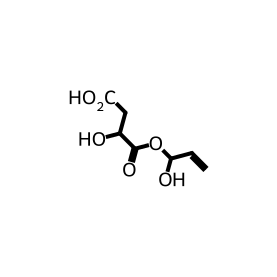 C=CC(O)OC(=O)C(O)CC(=O)O